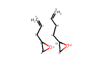 C=CCC1CO1.C=CCCC1CO1